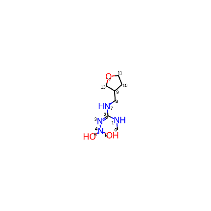 CN/C(=N\N(O)O)NCC1CCOC1